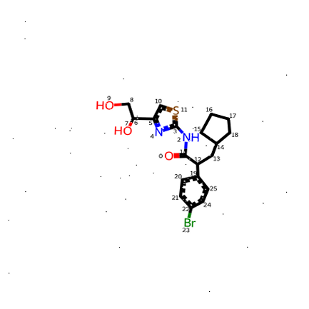 O=C(Nc1nc(C(O)CO)cs1)C(CC1CCCC1)c1ccc(Br)cc1